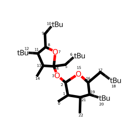 CC1C(OC2(CC(C)(C)C)OC(CC(C)(C)C)C(C(C)(C)C)C2C)OC(CC(C)(C)C)C(C(C)(C)C)C1C